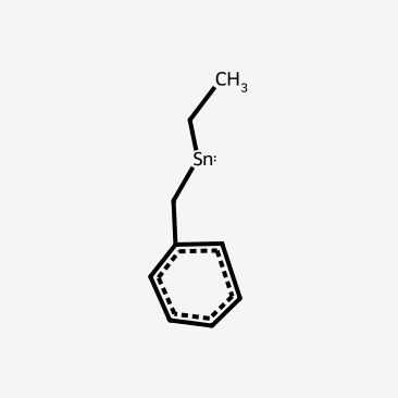 C[CH2][Sn][CH2]c1ccccc1